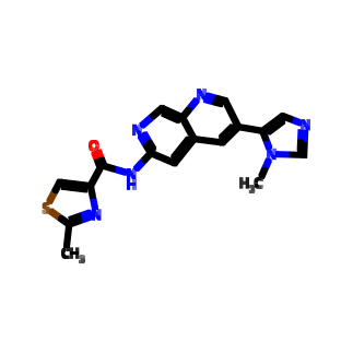 Cc1nc(C(=O)Nc2cc3cc(-c4cncn4C)cnc3cn2)cs1